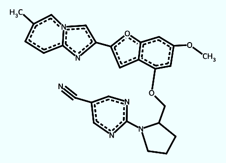 COc1cc(OCC2CCCN2c2ncc(C#N)cn2)c2cc(-c3cn4cc(C)ccc4n3)oc2c1